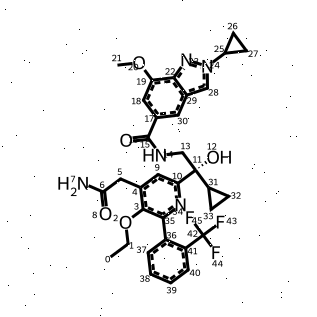 CCOc1c(CC(N)=O)cc([C@@](O)(CNC(=O)c2cc(OC)c3nn(C4CC4)cc3c2)C2CC2)nc1-c1ccccc1C(F)(F)F